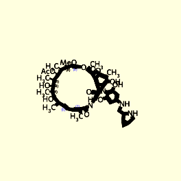 CO[C@H]1/C=C/OC2(C)Oc3c(C)c(O)c4c(=O)c(c5oc6cc(NCC7NCC8CC87)cc(O)c6nc-5c4c3C2=O)NC(=O)/C(C)=C\C=C\C(C)[C@H](O)[C@@H](C)[C@@H](O)[C@@H](C)[C@H](OC(C)=O)[C@@H]1C